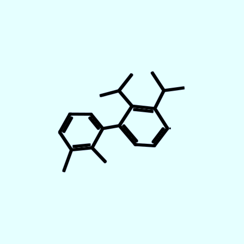 Cc1cccc(-c2cc[c]c(C(C)C)c2C(C)C)c1C